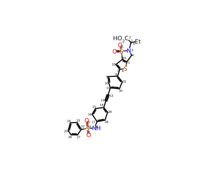 CCC(C(=O)O)N1Cc2sc(-c3ccc(C#Cc4ccc(NS(=O)(=O)c5ccccc5)cc4)cc3)cc2S1(=O)=O